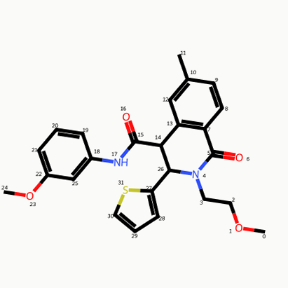 COCCN1C(=O)c2ccc(C)cc2C(C(=O)Nc2cccc(OC)c2)C1c1cccs1